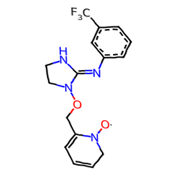 [O]N1CC=CC=C1CON1CCNC1=Nc1cccc(C(F)(F)F)c1